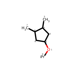 CC(C)OC1CC(C)C(C)C1